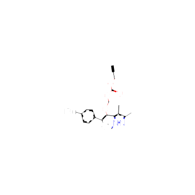 C#CCOC(=O)OCO/C(=C(/C#N)c1ccc(C(C)(C)C)cc1)c1c(C)c(C)nn1C